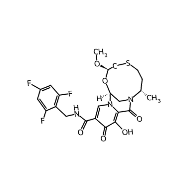 CO[C@H]1CSCC[C@H](C)N2C[C@H](O1)n1cc(C(=O)NCc3c(F)cc(F)cc3F)c(=O)c(O)c1C2=O